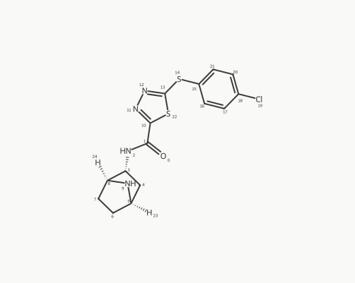 O=C(N[C@@H]1C[C@H]2CC[C@@H]1N2)c1nnc(Sc2ccc(Cl)cc2)s1